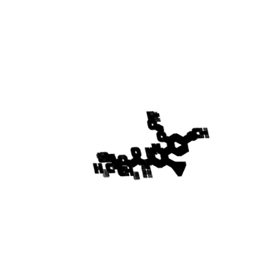 C#Cc1ccc(-c2nnc(NC(=O)CO[Si](C)(C)C(C)(C)C)cc2C2CC2)c(OCOCC)c1